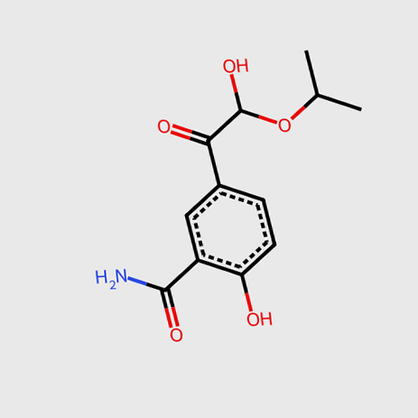 CC(C)OC(O)C(=O)c1ccc(O)c(C(N)=O)c1